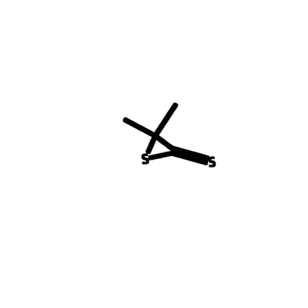 CC1(C)SC1=S